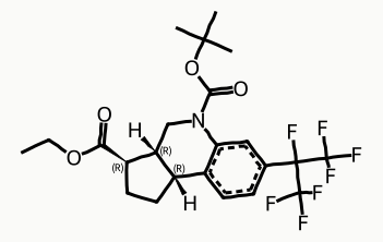 CCOC(=O)[C@@H]1CC[C@H]2c3ccc(C(F)(C(F)(F)F)C(F)(F)F)cc3N(C(=O)OC(C)(C)C)C[C@@H]12